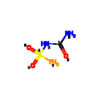 NC(=O)NS(=O)(=O)P